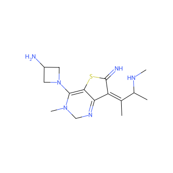 CNC(C)/C(C)=C1\C(=N)SC2=C(N3CC(N)C3)N(C)CN=C21